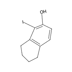 Oc1ccc2c(c1I)CCCC2